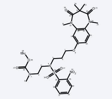 CN(CCN(CCCOc1ccc2c(c1)N(C)C(=O)C(C)(C)C(=O)N2C)S(=O)(=O)c1ccccc1[N+](=O)[O-])C(=O)OC(C)(C)C